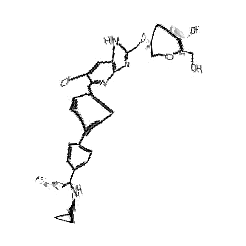 OC[C@H]1OC[C@H](Oc2nc3nc(-c4ccc(-c5ccc(C(NC6CC6)C(F)(F)F)cc5)cc4)c(Cl)cc3[nH]2)C[C@@H]1O